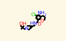 CC(C)(CO)CN1CC2C(CNC(=O)c3cc(Cl)c(N)c4c3OCCC4)C2C1